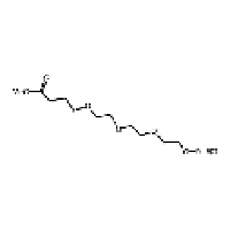 CCCCCCCOCCOCCOCCOCCCC(=O)OC